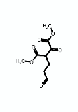 COC(=O)C(=O)C(CCC=O)C(=O)OC